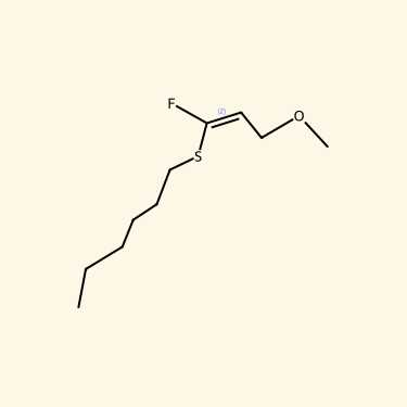 CCCCCCS/C(F)=C\COC